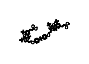 COC(=O)CCc1cc(C(C)(C)C)c(OP2OC(CCOc3ccc(C(C)(C)c4ccc(OCCC5CN(C(C)(C)C)P(Oc6c(C(C)(C)C)cc(CCC(=O)OC)cc6C(C)(C)C)O5)cc4)cc3)CN2C(C)(C)C)c(C(C)(C)C)c1